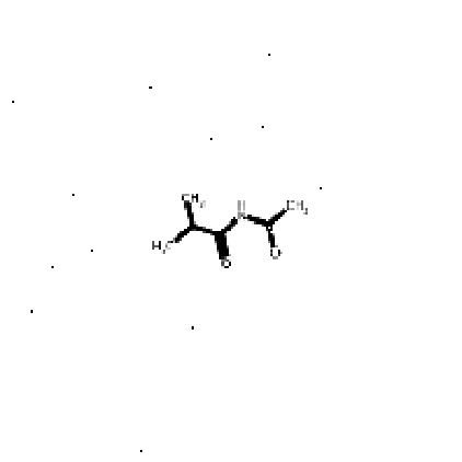 CC([O])NC(=O)C(C)C